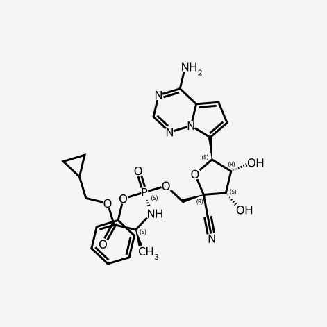 C[C@H](N[P@](=O)(OC[C@@]1(C#N)O[C@@H](c2ccc3c(N)ncnn23)[C@H](O)[C@@H]1O)Oc1ccccc1)C(=O)OCC1CC1